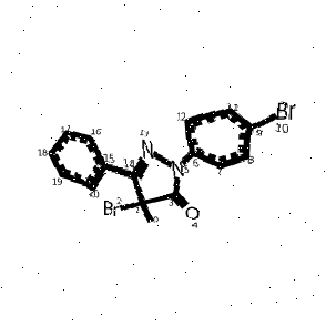 CC1(Br)C(=O)N(c2ccc(Br)cc2)N=C1c1ccccc1